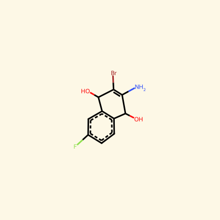 NC1=C(Br)C(O)c2cc(F)ccc2C1O